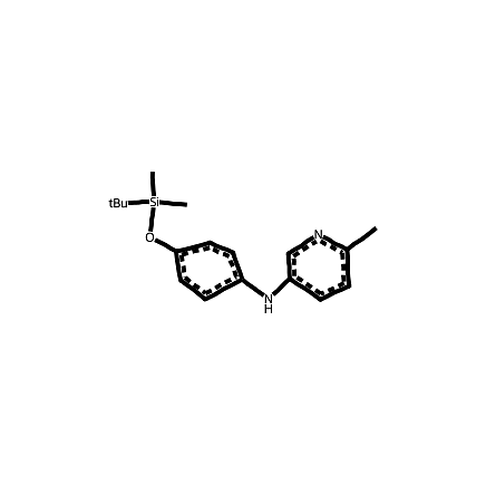 Cc1ccc(Nc2ccc(O[Si](C)(C)C(C)(C)C)cc2)cn1